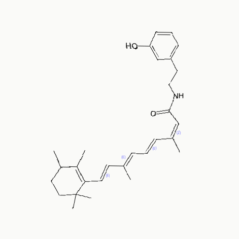 CC1=C(/C=C/C(C)=C/C=C/C(C)=C\C(=O)NCCc2cccc(O)c2)C(C)(C)CCC1C